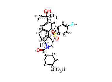 O=C(O)[C@H]1CC[C@H](C(=O)N2CC[C@]3(S(=O)(=O)c4ccc(F)cc4)c4ccc(C(O)(C(F)(F)F)C(F)(F)F)cc4CC[C@H]23)CC1